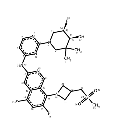 CC1(C)CN(c2nccc(Nc3cc4c(F)cc(F)c(N5CC(CS(C)(=O)=O)C5)c4cn3)n2)C[C@@H](F)[C@H]1O